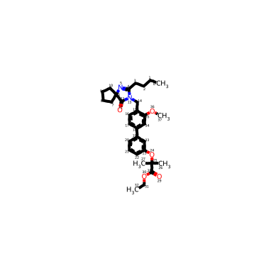 CCCCC1=NC2(CCCC2)C(=O)N1Cc1ccc(-c2cccc(OC(C)(C)C(=O)OCC)c2)cc1OC